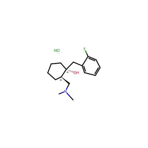 CN(C)C[C@H]1CCCC[C@@]1(O)Cc1ccccc1F.Cl